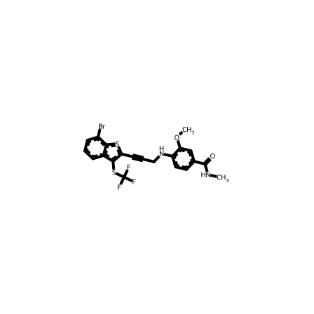 CNC(=O)c1ccc(NCC#Cc2sc3c(Br)cccc3c2SC(F)(F)F)c(OC)c1